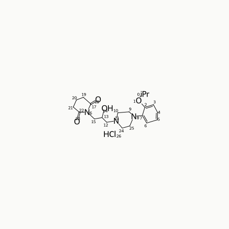 CC(C)Oc1ccccc1N1CCN(CC(O)CN2C(=O)CCCC2=O)CC1.Cl